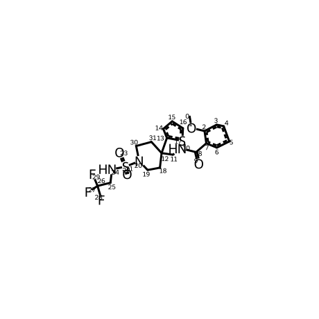 COc1ccccc1C(=O)NCC1(c2cccs2)CCN(S(=O)(=O)NCC(F)(F)F)CC1